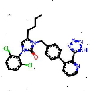 CCCCc1cn(-c2c(Cl)cccc2Cl)c(=O)n1Cc1ccc(-c2cccnc2-c2nnn[nH]2)cc1